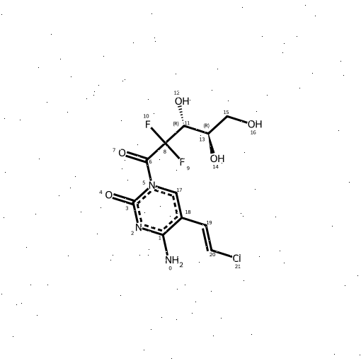 Nc1nc(=O)n(C(=O)C(F)(F)[C@H](O)[C@H](O)CO)cc1C=CCl